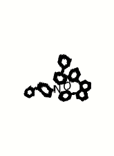 c1ccc(-c2ccc(N(c3ccc(-c4ccccc4)cc3)c3cccc4c3Oc3ccccc3-c3cccc5cccc-4c35)cc2)cc1